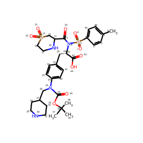 Cc1ccc(S(=O)(=O)N(C(=O)C2CS(=O)(=O)CCN2)[C@@H](Cc2ccc(N(CC3CCNCC3)C(=O)OC(C)(C)C)cc2)C(=O)O)cc1